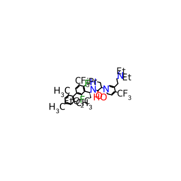 CCOC(=O)C[C@H](NC(=O)C(CC(C)C)N1C=C(CCN(CC)CC)C(C(F)(F)F)=CC1O)c1c(F)c(-c2c(C)cc(C)cc2C)cc(C(F)(F)F)c1F